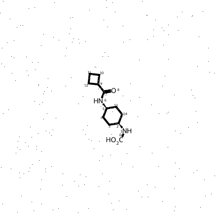 O=C(O)N[C@H]1CC[C@@H](NC(=O)C2CCC2)CC1